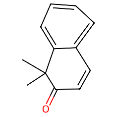 CC1(C)C(=O)C=Cc2ccccc21